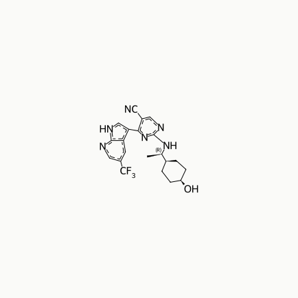 C[C@@H](Nc1ncc(C#N)c(-c2c[nH]c3ncc(C(F)(F)F)cc23)n1)[C@H]1CC[C@@H](O)CC1